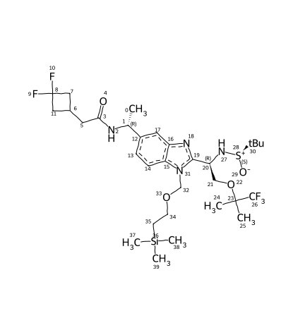 C[C@@H](NC(=O)CC1CC(F)(F)C1)c1ccc2c(c1)nc([C@H](COC(C)(C)C(F)(F)F)N[S@+]([O-])C(C)(C)C)n2COCC[Si](C)(C)C